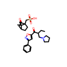 CC1(C)C2CCC1(CS(=O)(=O)O)C(=O)C2.CCC(CN1CCCC1)C(=O)c1cc(-c2ccccc2)no1